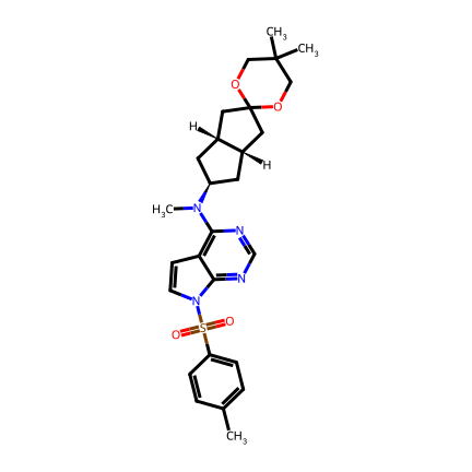 Cc1ccc(S(=O)(=O)n2ccc3c(N(C)[C@H]4C[C@@H]5CC6(C[C@@H]5C4)OCC(C)(C)CO6)ncnc32)cc1